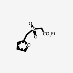 CCOC(=O)CS(=O)(=O)Cc1ccco1